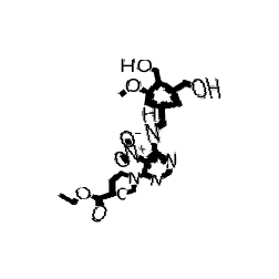 CCOC(=O)C1CCN(c2ncnc(NCc3cc(CO)c(CO)c(OC)c3)c2[N+](=O)[O-])CC1